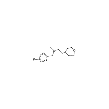 CN(CCC1CCOCC1)Cc1ccc(F)cc1